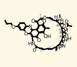 CCCOc1ccc2nc3c4c5c6c(C)c(O)c4c(=O)c(c-3oc2c1)NC(=O)/C=C\C=C\[C@H](C)[C@H](O)[C@@H](C)[C@@H](O)[C@@H](C)[C@H](OC(C)=O)[C@H](C)[C@@H](OC)/C=C/O[C@@](C)(O6)C5=O